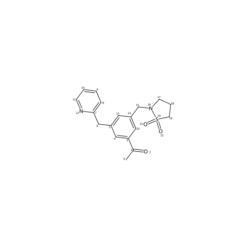 CC(=O)c1cc(Cc2ccccn2)cc(CN2CCCS2(=O)=O)c1